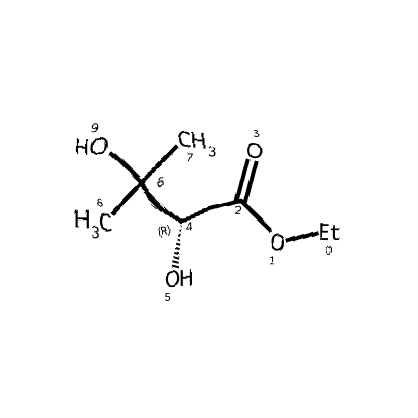 CCOC(=O)[C@H](O)C(C)(C)O